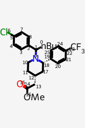 CCCCC(c1ccc(Cl)cc1)N1CC[C@@H](CC(=O)OC)C[C@H]1c1ccc(C(F)(F)F)cc1